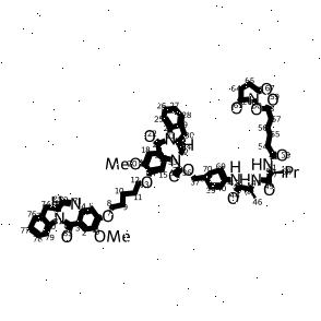 COc1cc2c(cc1OCCCCCOc1cc3c(cc1OC)C(=O)N1c4ccccc4C[C@H]1CN3C(=O)OCc1ccc(NC(=O)[C@H](C)NC(=O)[C@@H](NC(=O)CCCCC(=O)ON3C(=O)CCC3=O)C(C)C)cc1)N=C[C@@H]1Cc3ccccc3N1C2=O